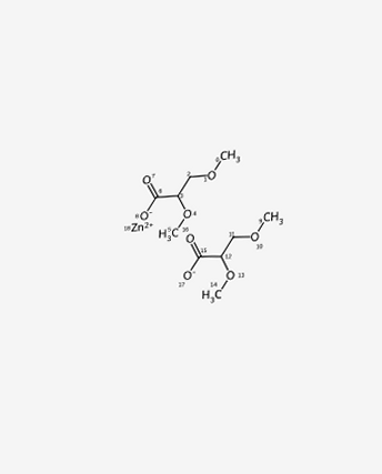 COCC(OC)C(=O)[O-].COCC(OC)C(=O)[O-].[Zn+2]